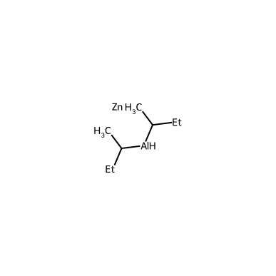 CC[CH](C)[AlH][CH](C)CC.[Zn]